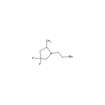 CC1CC(F)(F)CN1CCC(C)(C)C